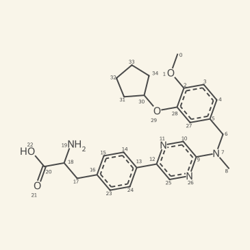 COc1ccc(CN(C)c2cnc(-c3ccc(CC(N)C(=O)O)cc3)cn2)cc1OC1CCCC1